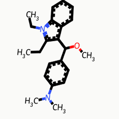 CCc1c(C(OC)c2ccc(N(C)C)cc2)c2ccccc2n1CC